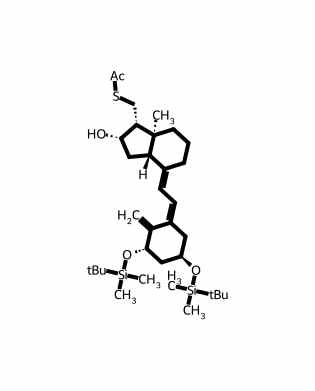 C=C1C(=CC=C2CCC[C@@]3(C)[C@H]2C[C@H](O)[C@@H]3CSC(C)=O)C[C@@H](O[Si](C)(C)C(C)(C)C)C[C@@H]1O[Si](C)(C)C(C)(C)C